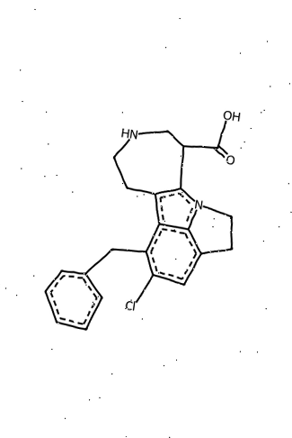 O=C(O)C1CNCCc2c1n1c3c(cc(Cl)c(Cc4ccccc4)c23)CC1